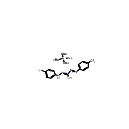 CCCC[N+](CCCC)(CCCC)CCCC.N#CC(/N=N/c1ccc(C(F)(F)F)cc1)=N\Nc1ccc(C(F)(F)F)cc1